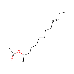 CC/C=C/CCCCCCC[C@@H](C)OC(C)=O